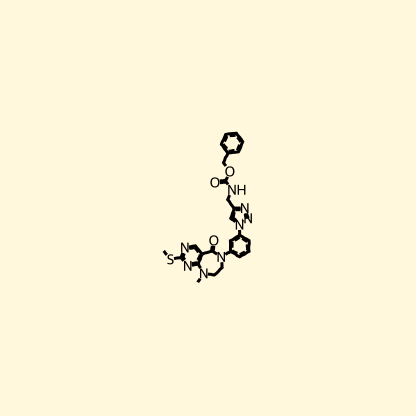 CSc1ncc2c(n1)N(C)CCN(c1cccc(-n3cc(CNC(=O)OCc4ccccc4)nn3)c1)C2=O